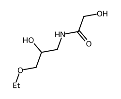 CCOCC(O)CNC(=O)CO